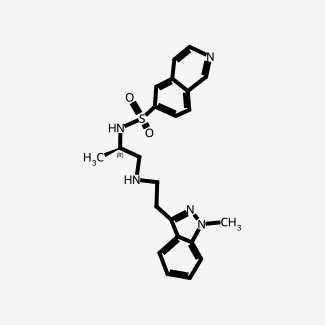 C[C@H](CNCCc1nn(C)c2ccccc12)NS(=O)(=O)c1ccc2cnccc2c1